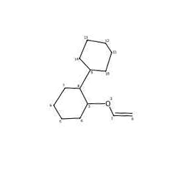 C=COC1CCCCC1C1CCCCC1